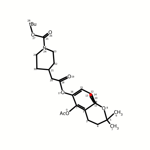 CC(=O)OC1=C2CCC(C)(C)OC23CC=CC=C3C=C1OC(=O)CC1CCN(C(=O)OC(C)(C)C)CC1